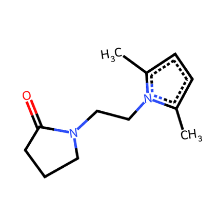 Cc1ccc(C)n1CCN1CCCC1=O